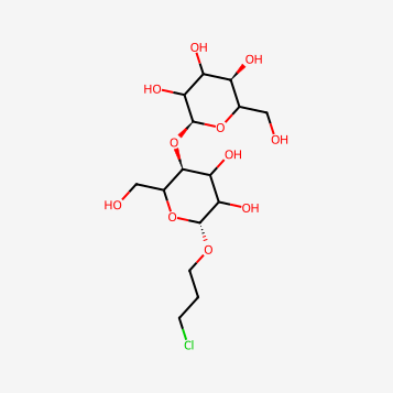 OCC1O[C@@H](O[C@@H]2C(CO)O[C@@H](OCCCCl)C(O)C2O)C(O)C(O)[C@H]1O